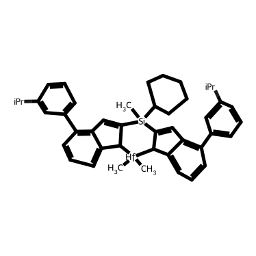 CC(C)c1cccc(-c2cccc3c2C=C2[CH]3[Hf]([CH3])([CH3])[CH]3C(=Cc4c(-c5cccc(C(C)C)c5)cccc43)[Si]2(C)C2CCCCC2)c1